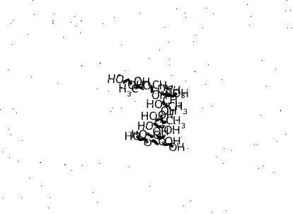 CC(C)(CO)CO.CC(O)CO.CC(O)COC(C)CO.CCC(O)CO.OCC(O)CO.OCCO.OCCOCCO.OCCOCCOCCO